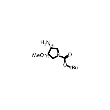 CO[C@H]1CN(C(=O)OC(C)(C)C)C[C@H]1N